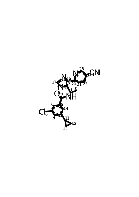 CC(NC(=O)c1cc(Cl)cc(C2CC2)c1)c1ncnn1-c1ccc(C#N)cn1